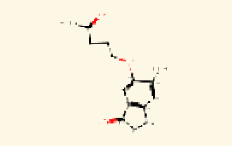 CC(=O)CCCOc1cc2c(cc1C)CCC2=O